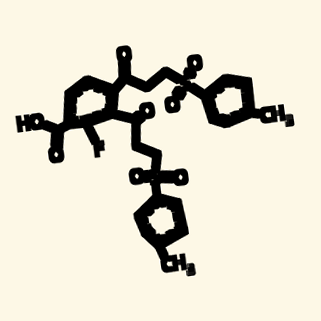 Cc1ccc(S(=O)(=O)CCC(=O)c2ccc(C(=O)O)c(F)c2C(=O)CCS(=O)(=O)c2ccc(C)cc2)cc1